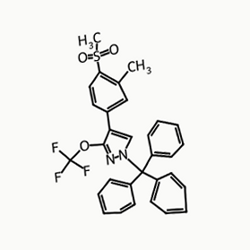 Cc1cc(-c2cn(C(c3ccccc3)(c3ccccc3)c3ccccc3)nc2OC(F)(F)F)ccc1S(C)(=O)=O